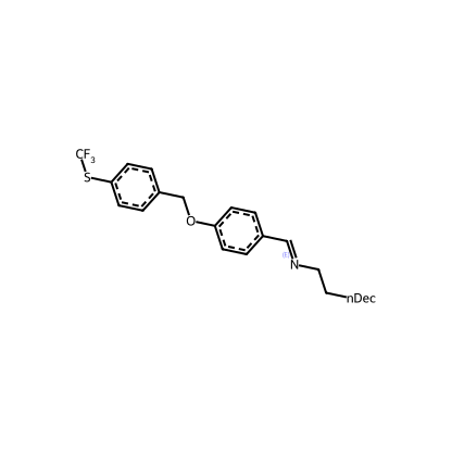 CCCCCCCCCCCC/N=C/c1ccc(OCc2ccc(SC(F)(F)F)cc2)cc1